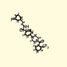 O=C(NCCc1cccc(F)c1)c1ccc(N2CCN(C(=O)c3ccccc3C(F)(F)F)CC2)nn1